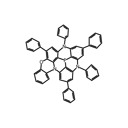 c1ccc(-c2cc3c4c(c2)n(-c2ccccc2)c2cc(-c5ccccc5)c5oc6ccccc6n6c7cc(-c8ccccc8)cc(c7p4c2c56)n3-c2ccccc2)cc1